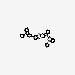 C\C=c1/c(=C\C(C)=N\c2cc(-c3ccc4c(c3)c3ccccc3n4-c3ccccc3)ccc2C)c2ccccc2n1-c1nc(-c2ccccc2)c2ccccc2n1